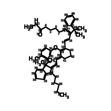 BNC(=O)CCCC[N+]1=C(/C=C/C2=C(Oc3ccc(C)cc3)C(=C/C=C3/N(CCCCC)c4ccccc4C3(C)C)/CCC2)C(C)(C)c2ccccc21